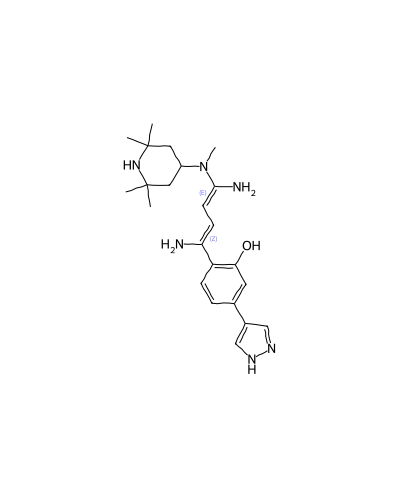 CN(/C(N)=C/C=C(\N)c1ccc(-c2cn[nH]c2)cc1O)C1CC(C)(C)NC(C)(C)C1